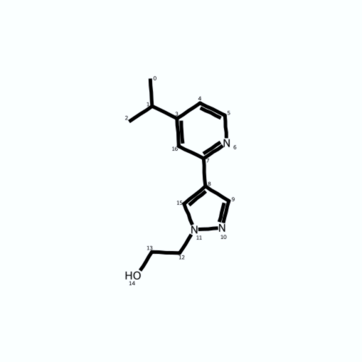 CC(C)c1ccnc(-c2cnn(CCO)c2)c1